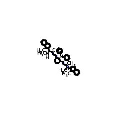 CNC(/C(C)=C/C=C1\CCCC(/C=C/C(C)=[N+](\C)c2ccc3ccccc3c2C)=C1N(c1ccccc1)c1ccccc1)c1ccc2ccccc2c1C